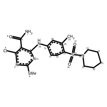 CSc1nc(Cl)c(C(N)=O)c(Nc2ccc(S(=O)(=O)N3CCCCC3)c(C)c2)n1